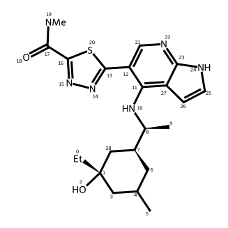 CC[C@]1(O)CC(C)C[C@H]([C@H](C)Nc2c(-c3nnc(C(=O)NC)s3)cnc3[nH]ccc23)C1